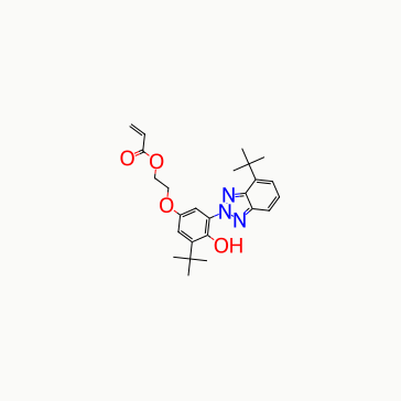 C=CC(=O)OCCOc1cc(-n2nc3cccc(C(C)(C)C)c3n2)c(O)c(C(C)(C)C)c1